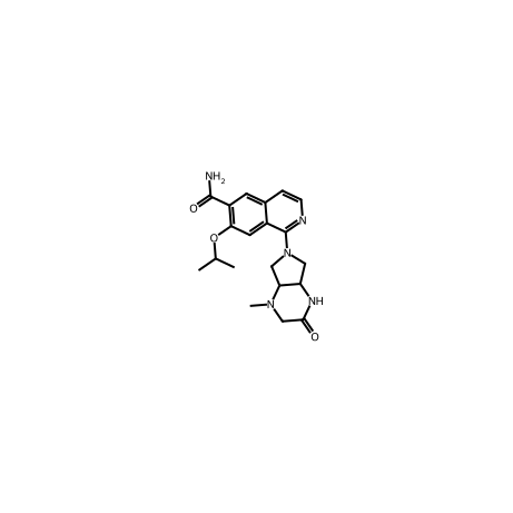 CC(C)Oc1cc2c(N3CC4NC(=O)CN(C)C4C3)nccc2cc1C(N)=O